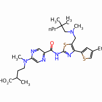 CCCC(C)(C)CN(C)Cc1sc(NC(=O)c2cnc(N(C)CCC(C)C(=O)O)cn2)nc1-c1cc(CC)cs1